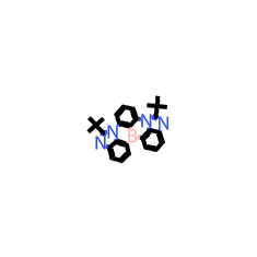 CC(C)(C)c1nc2cccc3c2n1-c1cccc2c1B3c1cccc3nc(C(C)(C)C)n-2c13